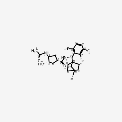 CC(=O)N[C@H]1C[C@H](C(=O)N[C@H](c2c(F)ccc(Cl)c2F)C23CCC(F)(CC2)C3)C[C@@H]1O